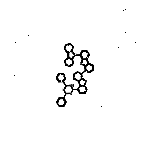 c1ccc(C2=NC(c3cccc4oc5c(-c6cccc7c6oc6c(-n8c9ccccc9c9ccccc98)cccc67)cccc5c34)NC(c3ccccc3)=N2)cc1